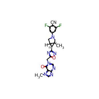 Cn1cnc2ncn(Cc3nc([C@H]4[C@@H]5CN(c6cc(F)c(C#N)c(F)c6)C[C@@]54C)no3)c(=O)c21